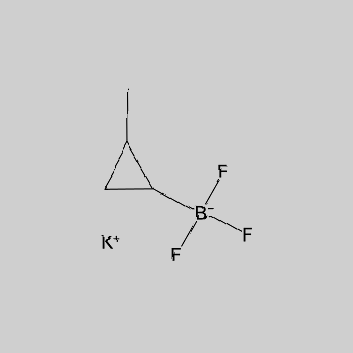 CC1CC1[B-](F)(F)F.[K+]